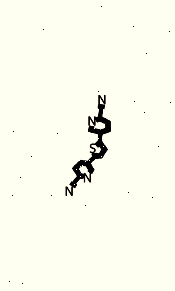 N#Cc1ccc(-c2ccc(-c3ccc(C#N)nc3)s2)cn1